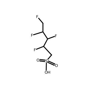 O=S(=O)(O)CC(F)C(F)C(F)CF